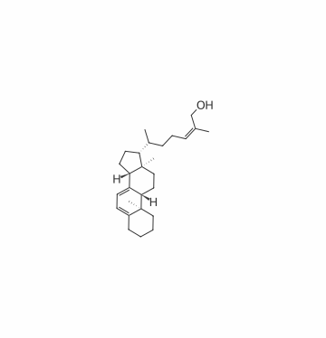 CC(=CCCC(C)[C@H]1CC[C@H]2C3=CC=C4CCCC[C@]4(C)[C@H]3CC[C@]12C)CO